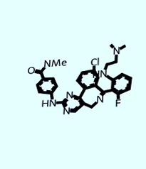 CNC(=O)c1ccc(Nc2ncc3c(n2)-c2ccc(Cl)cc2C(c2c(F)cccc2NCCN(C)C)=NC3)cc1